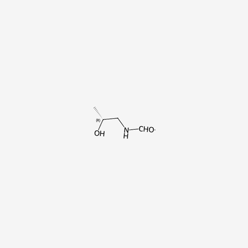 C[C@@H](O)CN[C]=O